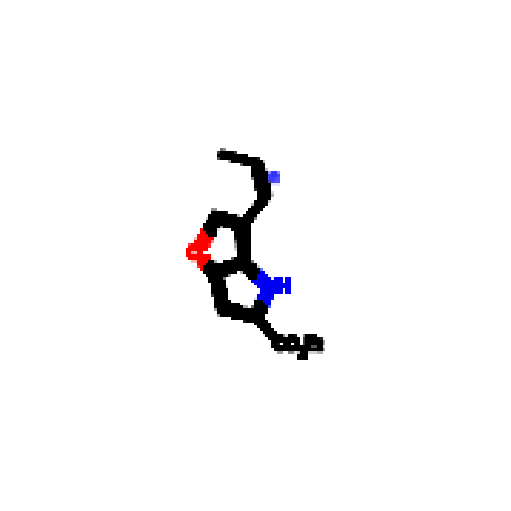 C/C=C\c1coc2cc(C(=O)OCC)[nH]c12